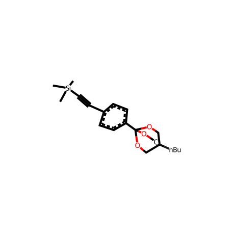 CCCCC12COC(c3ccc(C#C[Si](C)(C)C)cc3)(OC1)OC2